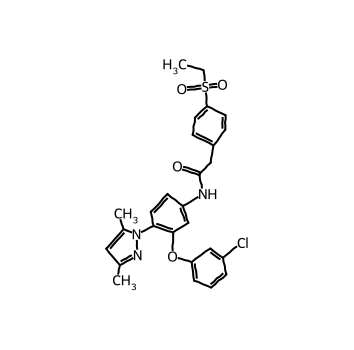 CCS(=O)(=O)c1ccc(CC(=O)Nc2ccc(-n3nc(C)cc3C)c(Oc3cccc(Cl)c3)c2)cc1